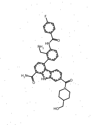 NCc1c(NC(=O)c2ccc(F)cc2)cccc1-c1ccc(C(N)=O)c2[nH]c3cc(C(=O)N4CCC(CO)CC4)ccc3c12